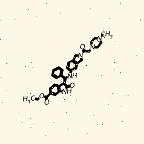 CCOC(=O)c1ccc2c(c1)NC(=O)/C2=C(\Nc1ccc2c(c1)CN(C(=O)CN1CCN(C)CC1)C2)c1ccccc1